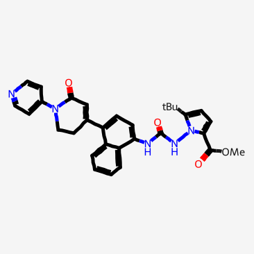 COC(=O)c1ccc(C(C)(C)C)n1NC(=O)Nc1ccc(C2=CC(=O)N(c3ccncc3)CC2)c2ccccc12